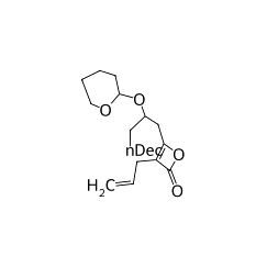 C=CCC1=C(CC(CCCCCCCCCCC)OC2CCCCO2)OC1=O